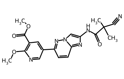 COC(=O)c1cc(-c2ccc3nc(NC(=O)C(C)(C)C#N)cn3n2)cnc1OC